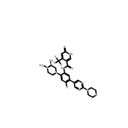 C[C@H]1CN(c2cc(Cl)c(-c3cnc(N4CCOCC4)nc3)cc2NC(=O)c2c[nH]c(=O)cc2C(F)(F)F)CCN1C